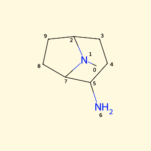 CN1C2CCC(N)C1CC2